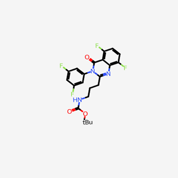 CC(C)(C)OC(=O)NCCCc1nc2c(F)ccc(F)c2c(=O)n1-c1cc(F)cc(F)c1